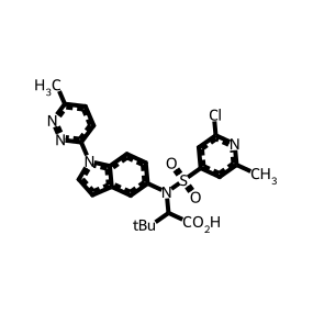 Cc1ccc(-n2ccc3cc(N(C(C(=O)O)C(C)(C)C)S(=O)(=O)c4cc(C)nc(Cl)c4)ccc32)nn1